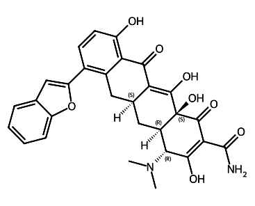 CN(C)[C@H]1C(O)=C(C(N)=O)C(=O)[C@@]2(O)C(O)=C3C(=O)c4c(O)ccc(-c5cc6ccccc6o5)c4C[C@@H]3C[C@H]12